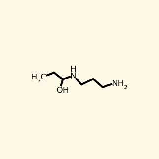 CCC(O)NCCCN